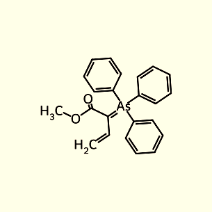 C=CC(C(=O)OC)=[As](c1ccccc1)(c1ccccc1)c1ccccc1